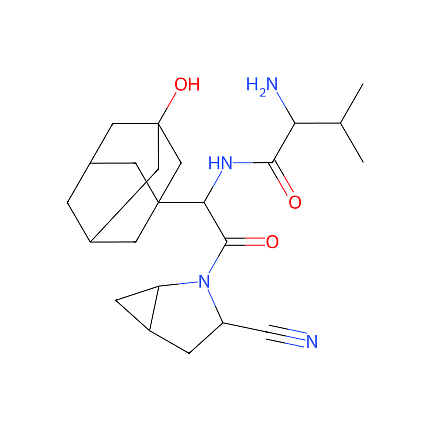 CC(C)C(N)C(=O)NC(C(=O)N1C(C#N)CC2CC21)C12CC3CC(CC(O)(C3)C1)C2